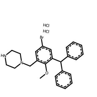 COc1c(CN2CCNCC2)cc(Br)cc1C(c1ccccc1)c1ccccc1.Cl.Cl